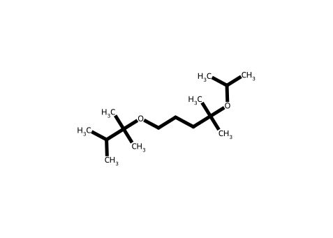 CC(C)OC(C)(C)CCCOC(C)(C)C(C)C